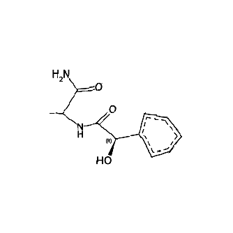 CC(NC(=O)[C@H](O)c1ccccc1)C(N)=O